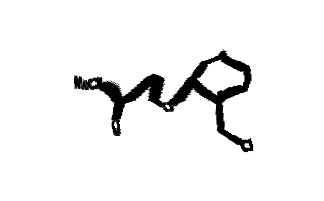 COC(=O)COc1ccccc1CCl